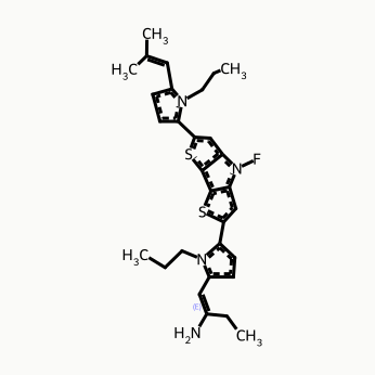 CCCn1c(C=C(C)C)ccc1-c1cc2c(s1)c1sc(-c3ccc(/C=C(/N)CC)n3CCC)cc1n2F